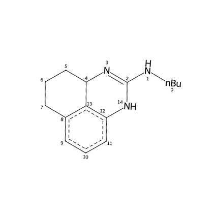 CCCCNC1=NC2CCCc3cccc(c32)N1